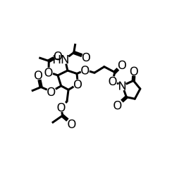 CC(=O)NC1C(OCCC(=O)ON2C(=O)CCC2=O)OC(COC(C)=O)C(OC(C)=O)C1OC(C)=O